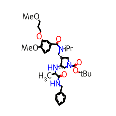 COCCCOc1cc(C(=O)N(C[C@@H]2CN(C(=O)OC(C)(C)C)C[C@H]2NC(C)C(=O)NCc2ccccc2)C(C)C)ccc1OC